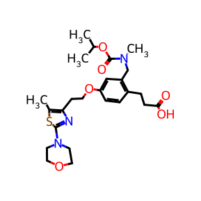 Cc1sc(N2CCOCC2)nc1CCOc1ccc(CCC(=O)O)c(CN(C)C(=O)OC(C)C)c1